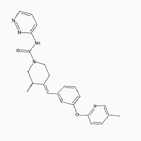 Cc1ccc(Oc2cccc(C=C3CCN(C(=O)Nc4cccnn4)CC3C)c2)nc1